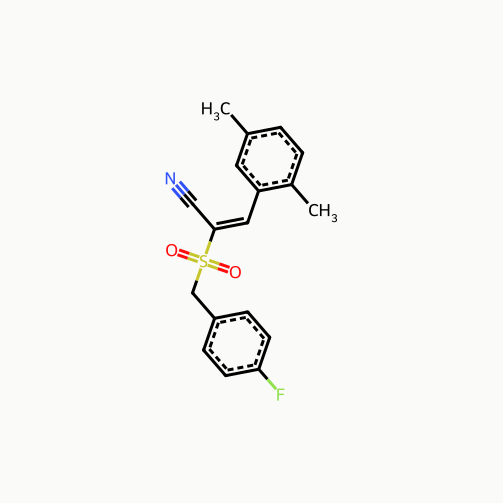 Cc1ccc(C)c(/C=C(\C#N)S(=O)(=O)Cc2ccc(F)cc2)c1